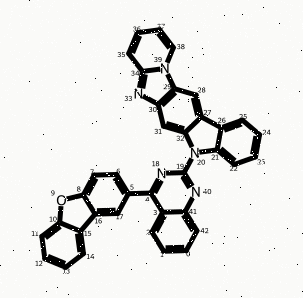 c1ccc2c(-c3ccc4oc5ccccc5c4c3)nc(-n3c4ccccc4c4cc5c(cc43)nc3ccccn35)nc2c1